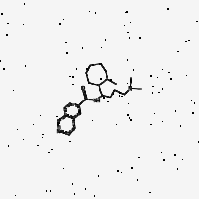 CC1CCCCCC1C(CCCN(C)C)NC(=O)c1ccc2cnccc2c1